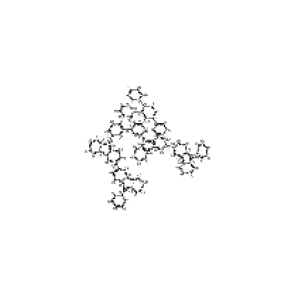 c1ccc(-c2ccc(-c3ccccc3)c(-c3cc(-c4cccc(-n5c6ccccc6c6cc(-c7ccc8c(c7)c7ccccc7n8-c7ccccc7)ccc65)c4)nc(-n4c5ccccc5c5cc(-c6ccc7c(c6)c6ccccc6n7-c6ccccc6)ccc54)n3)c2-c2ccccc2)cc1